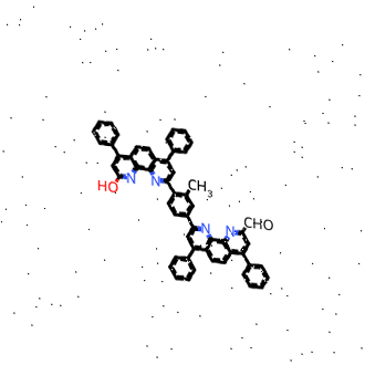 Cc1cc(-c2cc(-c3ccccc3)c3ccc4c(-c5ccccc5)cc(C=O)nc4c3n2)ccc1-c1cc(-c2ccccc2)c2ccc3c(-c4ccccc4)cc(O)nc3c2n1